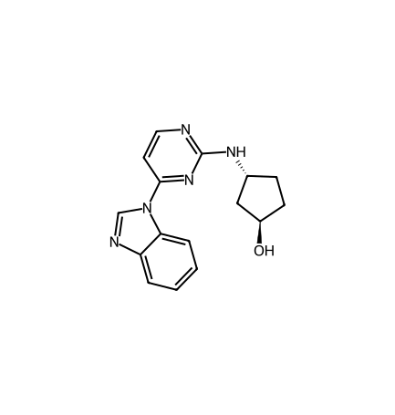 O[C@@H]1CC[C@@H](Nc2nccc(-n3cnc4ccccc43)n2)C1